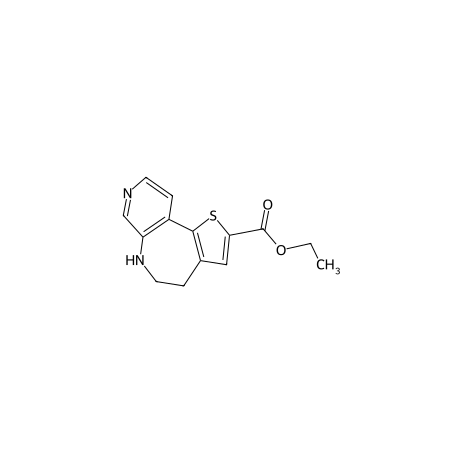 CCOC(=O)c1cc2c(s1)-c1ccncc1NCC2